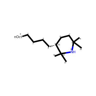 CCCCCCCCCCCC[C@@H]1[CH]CC(C)(C)NC1(C)C